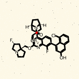 C=CC(=O)N1[C@@H]2CC[C@H]1CN(c1nc(OC[C@@]34CCCN3C[C@H](F)C4)nc3c(F)c(-c4cc(O)cc5cccc(Cl)c45)ccc13)C2